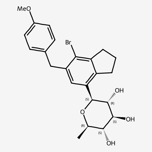 COc1ccc(Cc2cc([C@@H]3O[C@H](C)[C@@H](O)[C@H](O)[C@H]3O)c3c(c2Br)CCC3)cc1